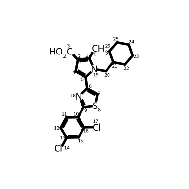 Cc1c(C(=O)O)cc(-c2csc(-c3ccc(Cl)cc3Cl)n2)n1CC1CCCCC1